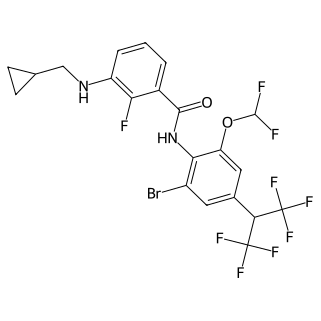 O=C(Nc1c(Br)cc(C(C(F)(F)F)C(F)(F)F)cc1OC(F)F)c1cccc(NCC2CC2)c1F